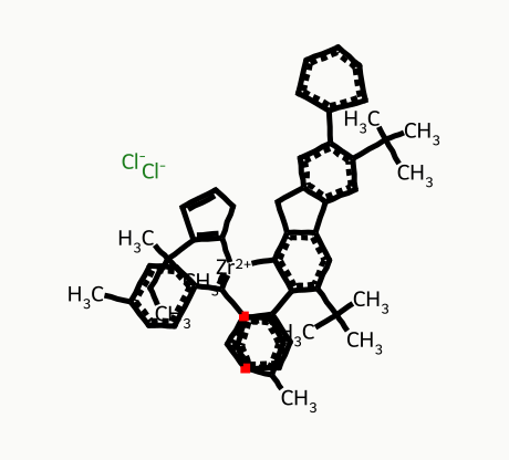 CCC(C)(C)C1=[C]([Zr+2](=[C](c2ccc(C)cc2)c2ccc(C)cc2)[c]2c3c(cc(C(C)(C)C)c2-c2ccccc2)-c2cc(C(C)(C)C)c(-c4ccccc4)cc2C3)CC=C1.[Cl-].[Cl-]